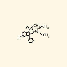 CCCCN(CCCC)CCn1c(C(=O)OCC)c2ccc(Cl)cc2c1-c1ccccc1